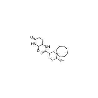 CC(C)C1CCC(C(=O)NC2CCC(=O)NC2=O)C[N+]12CCCCCCC2